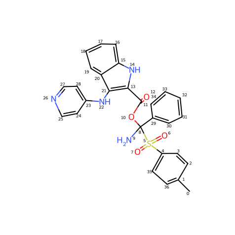 Cc1ccc(S(=O)(=O)C(N)(OC(=O)c2[nH]c3ccccc3c2Nc2ccncc2)c2ccccc2)cc1